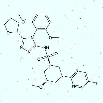 COc1cccc(OC)c1-n1c(NS(=O)(=O)[C@@H]2C[C@H](OC)CN(c3ncc(F)cn3)C2)nnc1[C@H]1CCCO1